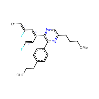 CC/C=C(F)/C=C(\C=C\F)c1ncc(CCCOC)nc1-c1ccc(CCC=O)cc1